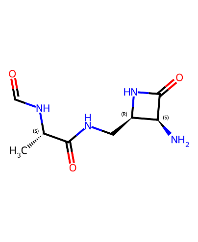 C[C@H](NC=O)C(=O)NC[C@H]1NC(=O)[C@H]1N